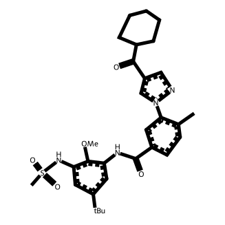 COc1c(NC(=O)c2ccc(C)c(-n3cc(C(=O)C4CCCCC4)cn3)c2)cc(C(C)(C)C)cc1NS(C)(=O)=O